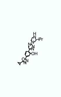 CC(C)[C@H]1CN(c2ncc(-c3ccc(-c4nnc(C5CC5)o4)cc3O)nn2)CCN1